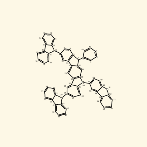 c1ccc(C2c3ccc(-n4c5ccccc5c5ccccc54)cc3-c3cc4c5cc(-n6c7ccccc7c7ccccc76)ccc5n(-c5ccc6oc7ccccc7c6c5)c4cc32)cc1